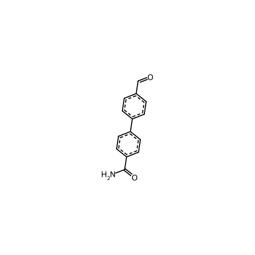 NC(=O)c1ccc(-c2ccc(C=O)cc2)cc1